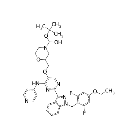 CCOc1cc(F)c(Cn2nc(-c3ncc(OCC4CN(C(O)OC(C)(C)C)CCO4)c(Nc4ccncc4)n3)c3ccccc32)c(F)c1